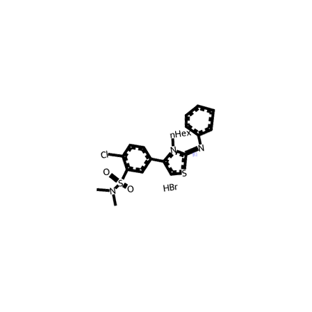 Br.CCCCCCn1c(-c2ccc(Cl)c(S(=O)(=O)N(C)C)c2)cs/c1=N/c1ccccc1